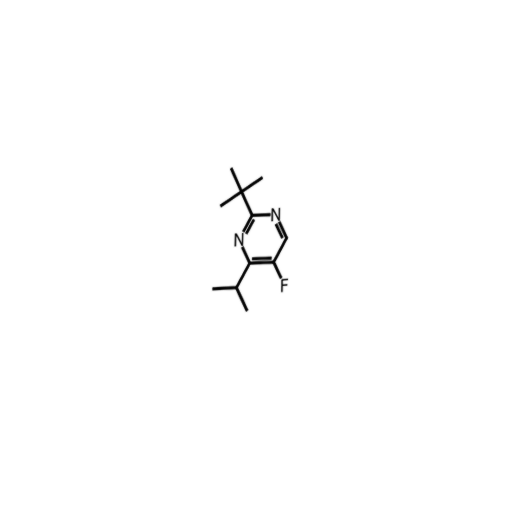 CC(C)c1nc(C(C)(C)C)ncc1F